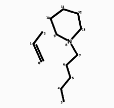 C=CC.CCCCCN1CCCCC1